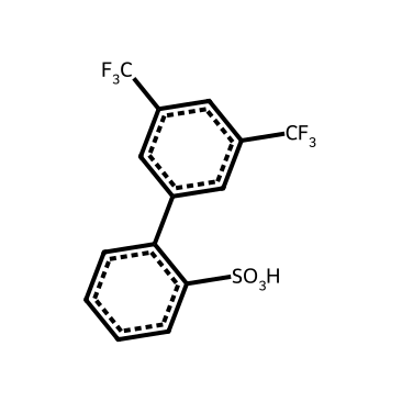 O=S(=O)(O)c1ccccc1-c1cc(C(F)(F)F)cc(C(F)(F)F)c1